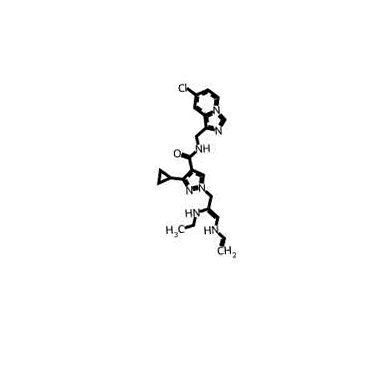 C=CN/C=C(/Cn1cc(C(=O)NCc2ncn3ccc(Cl)cc23)c(C2CC2)n1)NCC